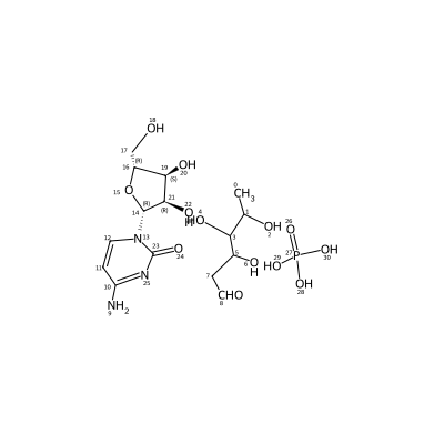 CC(O)C(O)C(O)CC=O.Nc1ccn([C@@H]2O[C@H](CO)[C@@H](O)[C@H]2O)c(=O)n1.O=P(O)(O)O